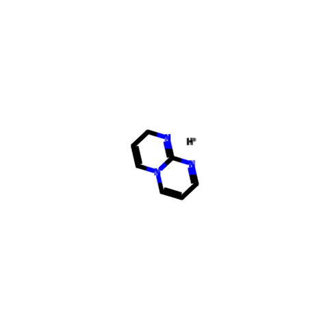 C1=CN2C=CCN=C2N=C1.[H+]